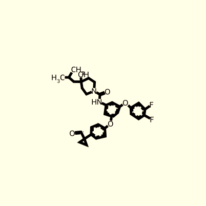 CC(C)CC1(O)CCN(C(=O)Nc2cc(Oc3ccc(C4([C]=O)CC4)cc3)cc(Oc3ccc(F)c(F)c3)c2)CC1